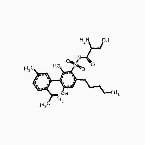 C=C(C)c1ccc(C)cc1-c1c(O)cc(CCCCC)c(S(=O)(=O)NC(=O)C(N)CO)c1O